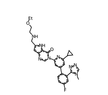 CCOCCNCc1cc2ncn(-c3cc(-c4ccc(F)cc4-c4nncn4C)cc(C4CC4)n3)c(=O)c2[nH]1